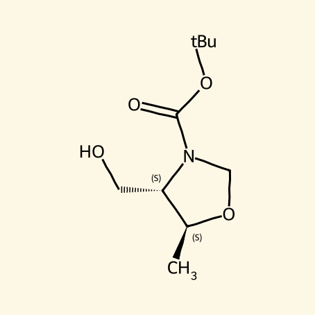 C[C@@H]1OCN(C(=O)OC(C)(C)C)[C@H]1CO